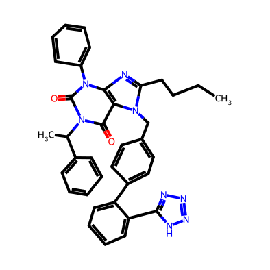 CCCCc1nc2c(c(=O)n(C(C)c3ccccc3)c(=O)n2-c2ccccc2)n1Cc1ccc(-c2ccccc2-c2nnn[nH]2)cc1